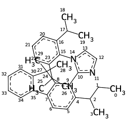 CCC(C)c1ccc2c(c1-c1nccn1-c1c(C(C)C)cccc1C(C)C)C(C)(C)c1ccccc1-2